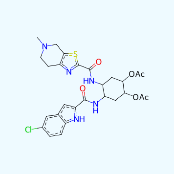 CC(=O)OC1CC(NC(=O)c2cc3cc(Cl)ccc3[nH]2)C(NC(=O)c2nc3c(s2)CN(C)CC3)CC1OC(C)=O